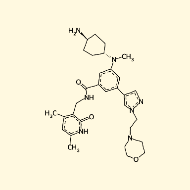 Cc1cc(C)c(CNC(=O)c2cc(-c3cnn(CCN4CCOCC4)c3)cc(N(C)[C@H]3CC[C@H](N)CC3)c2)c(=O)[nH]1